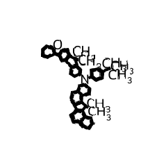 CC(C)(C)c1ccc(N(c2ccc3c(c2)C(C)(C)c2cc4oc5ccccc5c4cc2-3)c2ccc3c4c(ccc3c2)-c2ccc3ccccc3c2C4(C)C)cc1